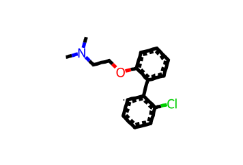 CN(C)CCOc1ccccc1-c1[c]cccc1Cl